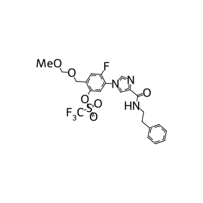 COCOCc1cc(F)c(-n2cnc(C(=O)NCCc3ccccc3)c2)cc1OS(=O)(=O)C(F)(F)F